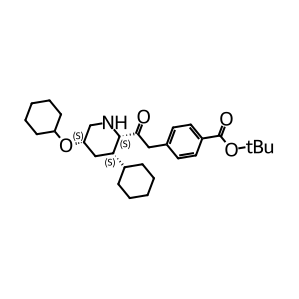 CC(C)(C)OC(=O)c1ccc(CC(=O)[C@H]2NC[C@@H](OC3CCCCC3)C[C@H]2C2CCCCC2)cc1